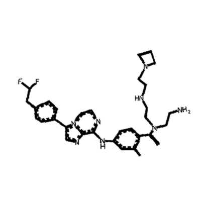 C=C(c1ccc(Nc2nccn3c(-c4ccc(CC(F)F)cc4)cnc23)cc1C)N(CCN)CCNCCN1CCC1